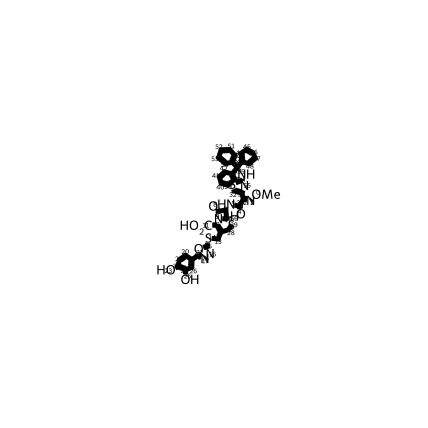 CO/N=C(/C(=O)N[C@@H]1C(=O)N2C(C(=O)O)=C(CSc3nnc(-c4ccc(O)c(O)c4)o3)CS[C@H]12)c1csc(NC(c2ccccc2)(c2ccccc2)c2ccccc2)n1